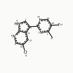 Cc1nc(-c2c[nH]c3ncc(Cl)cc23)ncc1F